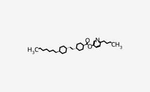 CCCCCCC[C@H]1CC[C@H](CC[C@H]2CC[C@H](C(=O)Oc3ccc(CCCC)nc3)CC2)CC1